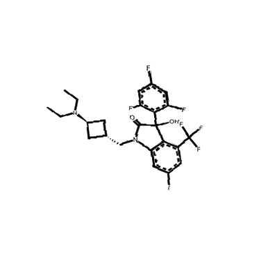 CCN(CC)[C@H]1C[C@H](CN2C(=O)C(O)(c3c(F)cc(F)cc3F)c3c2cc(I)cc3C(F)(F)F)C1